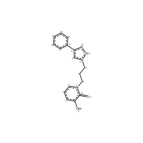 Oc1cccn(CCCn2cc(-c3ccccc3)nn2)c1=S